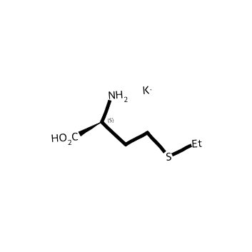 CCSCC[C@H](N)C(=O)O.[K]